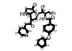 CC(C)CC(NC(=O)c1ccc(Oc2ccccc2)cc1)C(=O)N1CC(C(=O)Cc2cccnc2)C2NCC(=O)C21